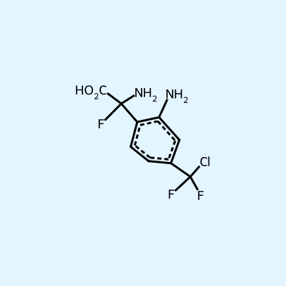 Nc1cc(C(F)(F)Cl)ccc1C(N)(F)C(=O)O